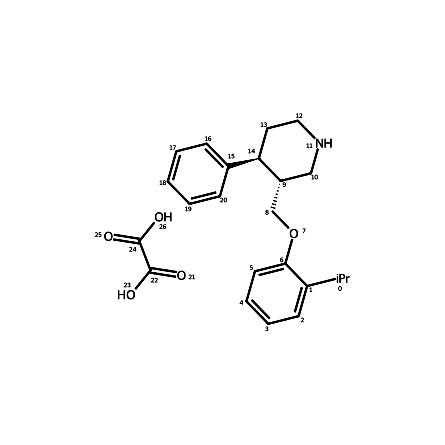 CC(C)c1ccccc1OC[C@H]1CNCC[C@@H]1c1ccccc1.O=C(O)C(=O)O